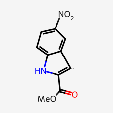 COC(=O)c1[c]c2cc([N+](=O)[O-])ccc2[nH]1